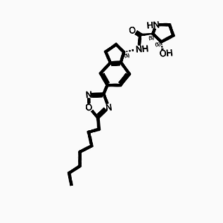 CCCCCCCc1nc(-c2ccc3c(c2)CC[C@@H]3NC(=O)[C@H]2NCC[C@@H]2O)no1